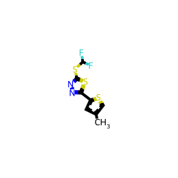 Cc1csc(-c2nnc(SC(F)F)s2)c1